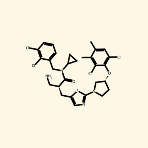 Cc1cc(Cl)c(O[C@@H]2CCN(c3ncc(C[C@@H](CN)C(=O)N(Cc4cccc(Cl)c4Cl)C4CC4)s3)C2)c(Cl)c1C